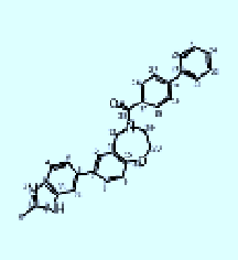 Cc1nc2ccc(-c3ccc4c(c3)CN(C(=O)c3ccc(-c5ccccc5)cc3)CCO4)cc2[nH]1